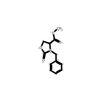 COC(=O)C1COC(=O)N1Cc1ccccc1